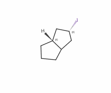 I[C@@H]1CC2CCC[C@@H]2C1